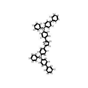 c1ccc(-c2ccc(N(c3ccccc3)c3ccc(-c4ccc(-c5ccc(N(c6ccccc6)c6ccc(-c7ccccc7)cc6)cc5)s4)cc3)cc2)cc1